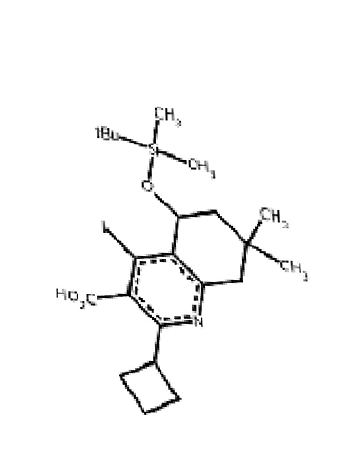 CC1(C)Cc2nc(C3CCC3)c(C(=O)O)c(I)c2C(O[Si](C)(C)C(C)(C)C)C1